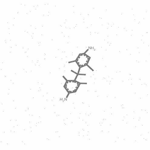 Cc1cc(N)cc(C)c1C(C)(C)c1c(C)cc(N)cc1C